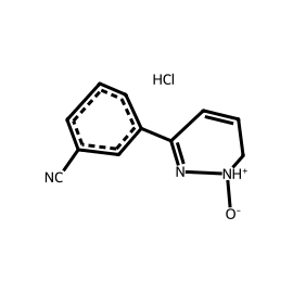 Cl.N#Cc1cccc(C2=N[NH+]([O-])CC=C2)c1